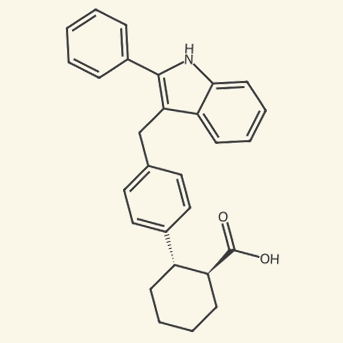 O=C(O)[C@H]1CCCC[C@@H]1c1ccc(Cc2c(-c3ccccc3)[nH]c3ccccc23)cc1